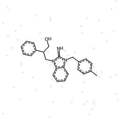 Cc1ccc(Cn2c(=N)n(CC(CO)c3ccccc3)c3ccccc32)cc1